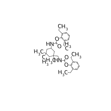 CCc1cccc(CC)c1OC(=O)NCC1(C)CC(NC(=O)Oc2c(CC)cccc2CC)CC(C)(C)C1